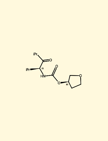 CC(C)C(=O)[C@@H](NC(=O)O[C@@H]1CCOC1)C(C)C